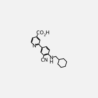 N#Cc1cc(-c2cc(C(=O)O)ccn2)ccc1NCC1CCCCC1